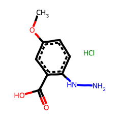 COc1ccc(NN)c(C(=O)O)c1.Cl